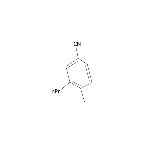 CCCc1cc(C#N)ccc1C